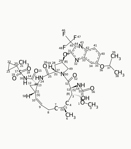 COC[C@@H]1C[C@@H](C)CCC=C[C@@H]2C[C@@]2(C(=O)NS(=O)(=O)C2(C)CC2)NC(=O)[C@@H]2C[C@@H](Oc3nc4cc(OC(C)C)ccc4nc3C(F)(F)F)CN2C(=O)[C@H]1NC(=O)O